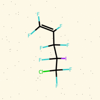 FC(F)=C(F)C(F)(F)C(F)(I)C(F)(F)Cl